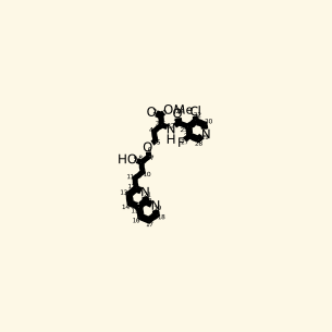 COC(=O)C(CCOCC(O)CCc1ccc2cccnc2n1)NC(=O)c1c(F)cncc1Cl